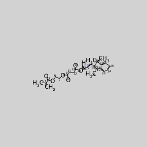 C=C(C)C(=O)OCCOC(=O)CCC(=O)ON/C=C/C1=[N+](C)c2ccccc2C1(C)C